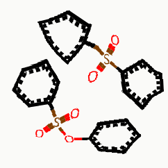 O=S(=O)(Oc1ccccc1)c1ccccc1.O=S(=O)(c1ccccc1)c1ccccc1